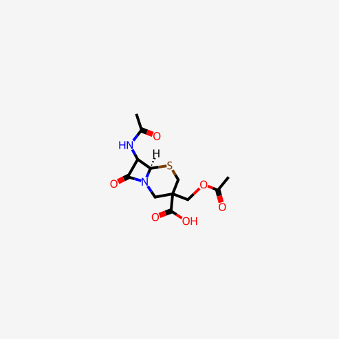 CC(=O)NC1C(=O)N2CC(COC(C)=O)(C(=O)O)CS[C@H]12